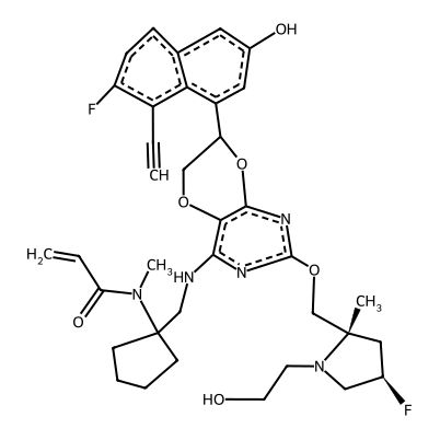 C#Cc1c(F)ccc2cc(O)cc(C3COc4c(NCC5(N(C)C(=O)C=C)CCCC5)nc(OC[C@]5(C)C[C@@H](F)CN5CCO)nc4O3)c12